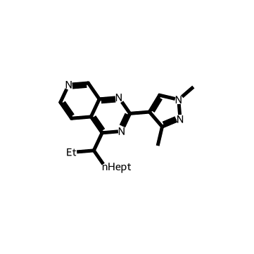 CCCCCCCC(CC)c1nc(-c2cn(C)nc2C)nc2cnccc12